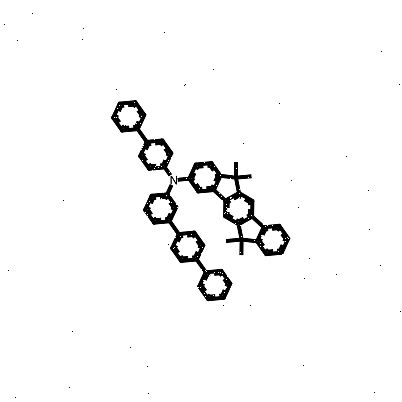 CC1(C)c2ccccc2-c2cc3c(cc21)-c1cc(N(c2ccc(-c4ccccc4)cc2)c2cccc(-c4ccc(-c5ccccc5)cc4)c2)ccc1C3(C)C